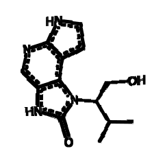 CC(C)[C@H](CO)n1c(=O)[nH]c2cnc3[nH]ccc3c21